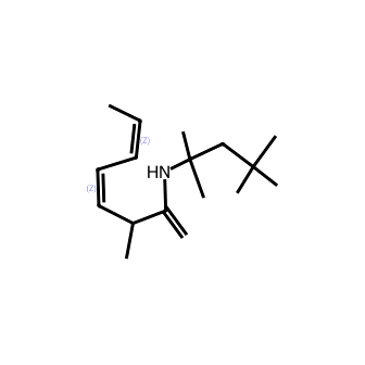 C=C(NC(C)(C)CC(C)(C)C)C(C)/C=C\C=C/C